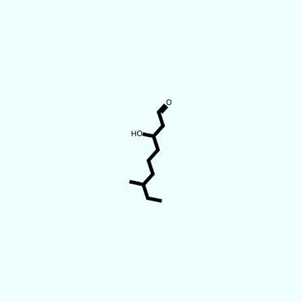 CCC(C)CCCC(O)CC=O